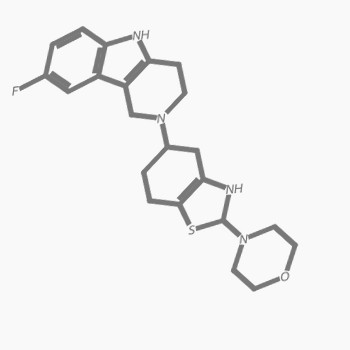 Fc1ccc2[nH]c3c(c2c1)CN(C1CCC2=C(C1)NC(N1CCOCC1)S2)CC3